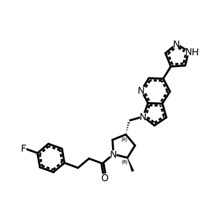 C[C@@H]1C[C@@H](Cn2ccc3cc(-c4cn[nH]c4)cnc32)CN1C(=O)CCc1ccc(F)cc1